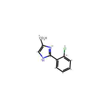 O=C(O)c1c[nH]c(-c2ccccc2Cl)n1